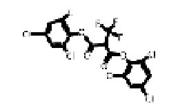 O=C(Oc1c(Cl)cc(Cl)cc1Cl)C(C(=O)Oc1c(Cl)cc(Cl)cc1Cl)C(F)(F)F